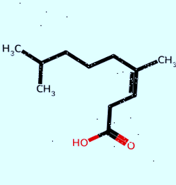 CC(=CCC(=O)O)CCCC(C)C